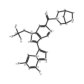 O=C(c1cc2c(cn1)c(-c1cnc3c(F)cc(F)cn13)nn2CC(F)(F)F)N1CC2COC(C2)C1